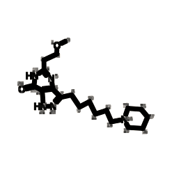 COCCc1nc2c(CCCCCCN3CCCCC3)n[nH]c2c(=O)[nH]1